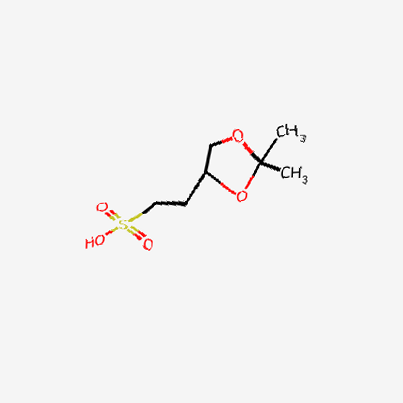 CC1(C)OCC(CCS(=O)(=O)O)O1